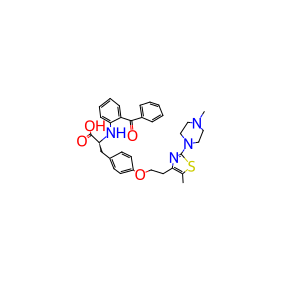 Cc1sc(N2CCN(C)CC2)nc1CCOc1ccc(C[C@H](Nc2ccccc2C(=O)c2ccccc2)C(=O)O)cc1